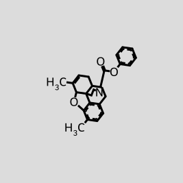 CC1=CCC2C3Cc4ccc(C)c5c4C2(CCN3C(=O)Oc2ccccc2)C1O5